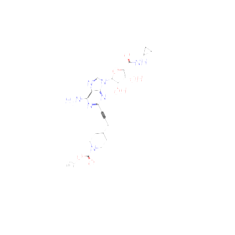 CC(C)OC(=O)N1CCC(CC#Cc2nc(N)c3ncn(C4O[C@H](C(=O)NC5CC5)[C@H](O)[C@@H]4O)c3n2)CC1